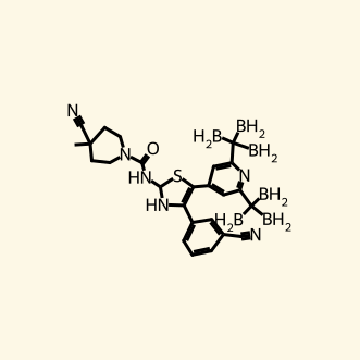 BC(B)(B)c1cc(C2=C(c3cccc(C#N)c3)NC(NC(=O)N3CCC(C)(C#N)CC3)S2)cc(C(B)(B)B)n1